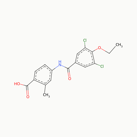 CCOc1c(Cl)cc(C(=O)Nc2ccc(C(=O)O)c(C)c2)cc1Cl